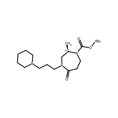 C[C@@H]1CN(CCCN2CCCCC2)C(=O)CCN1C(=O)OC(C)(C)C